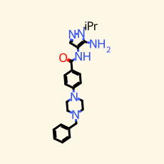 CC(C)n1ncc(NC(=O)c2ccc(N3CCN(Cc4ccccc4)CC3)cc2)c1N